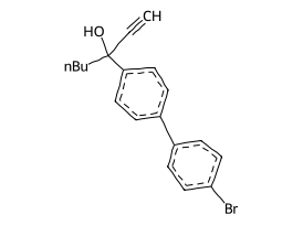 C#CC(O)(CCCC)c1ccc(-c2ccc(Br)cc2)cc1